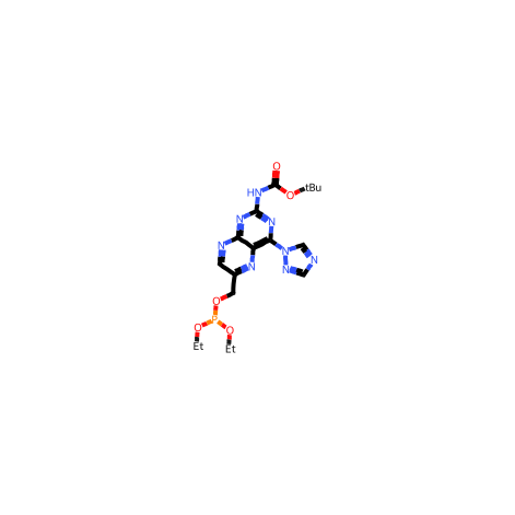 CCOP(OCC)OCc1cnc2nc(NC(=O)OC(C)(C)C)nc(-n3cncn3)c2n1